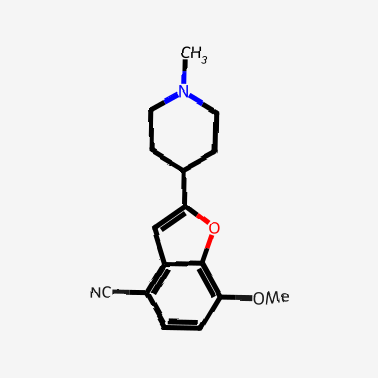 COc1ccc(C#N)c2cc(C3CCN(C)CC3)oc12